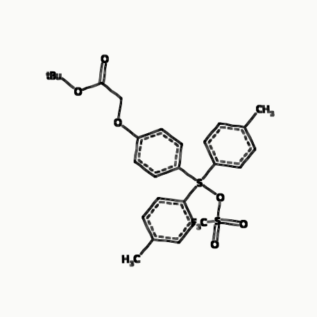 Cc1ccc(S(OS(=O)(=O)C(F)(F)F)(c2ccc(C)cc2)c2ccc(OCC(=O)OC(C)(C)C)cc2)cc1